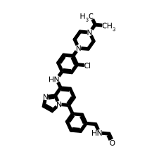 CC(C)N1CCN(c2ccc(Nc3ccc(-c4cccc(CNC=O)c4)n4ccnc34)cc2Cl)CC1